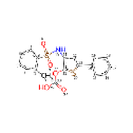 Cc1ccccc1S(=O)(=O)Nc1cc(-c2ccccc2)sc1OC(=O)O